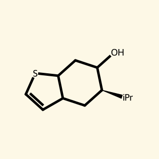 CC(C)[C@H]1CC2C=CSC2CC1O